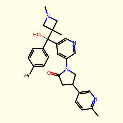 Cc1ccc(C2CC(=O)N(c3cncc([C@@](O)(c4ccc(C(C)C)cc4)C4(C)CN(C)C4)c3)C2)cn1